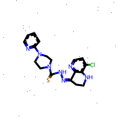 S=C(N/N=C1/CCNc2c(Cl)ccnc21)N1CCN(c2ccccn2)CC1